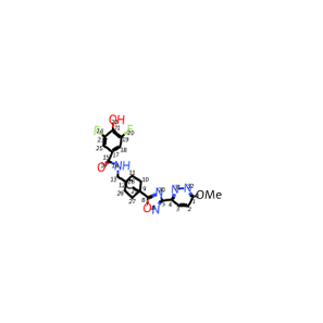 COc1ccc(-c2noc(C34CCC(CNC(=O)c5cc(F)c(O)c(F)c5)(CC3)CC4)n2)nn1